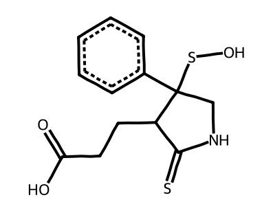 O=C(O)CCC1C(=S)NCC1(SO)c1ccccc1